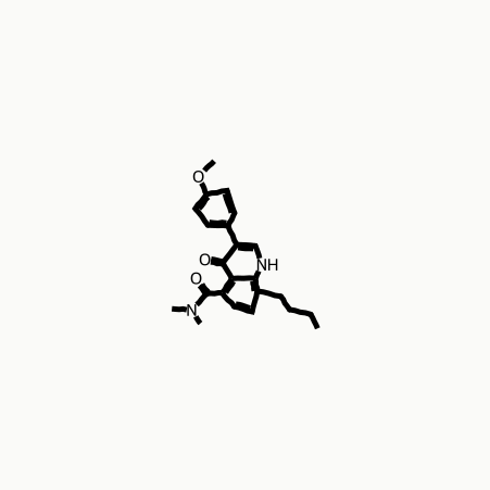 CCCCc1ccc(C(=O)N(C)C)c2c(=O)c(-c3ccc(OC)cc3)c[nH]c12